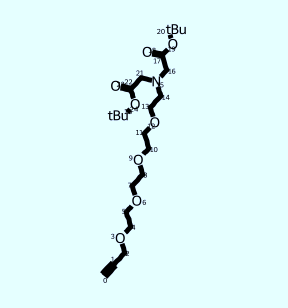 C#CCOCCOCCOCCOCCN(CC(=O)OC(C)(C)C)CC(=O)OC(C)(C)C